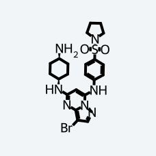 N[C@H]1CC[C@@H](Nc2cc(Nc3ccc(S(=O)(=O)N4CCCC4)cc3)n3ncc(Br)c3n2)CC1